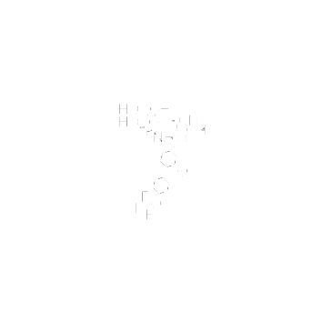 CC(C)(C)OC(=O)NCc1cc(-c2ccc(OC(F)(F)F)cc2)c2c(c1C1COC(C)(C)O1)CCO2